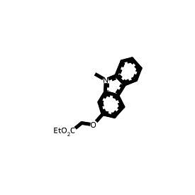 CCOC(=O)COc1ccc2c3ccccc3n(C)c2c1